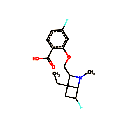 CCC12CC(F)C1N(C)C2COc1cc(F)ccc1C(=O)O